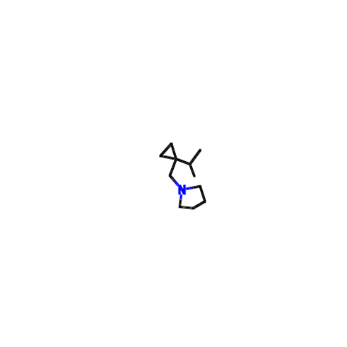 CC(C)C1(CN2CCCC2)CC1